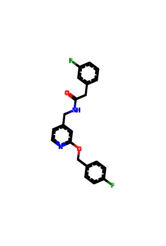 O=C(Cc1cccc(F)c1)NCc1ccnc(OCc2ccc(F)cc2)c1